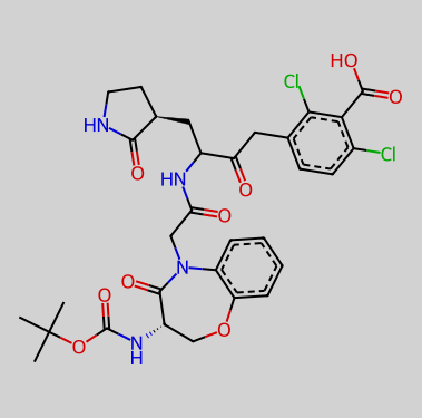 CC(C)(C)OC(=O)N[C@H]1COc2ccccc2N(CC(=O)NC(C[C@@H]2CCNC2=O)C(=O)Cc2ccc(Cl)c(C(=O)O)c2Cl)C1=O